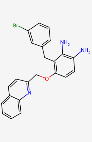 Nc1ccc(OCc2ccc3ccccc3n2)c(Cc2cccc(Br)c2)c1N